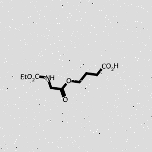 CCOC(=O)NCC(=O)OCCCC(=O)O